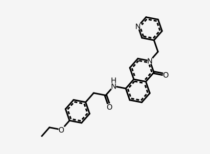 CCOc1ccc(CC(=O)Nc2cccc3c(=O)n(Cc4cccnc4)ccc23)cc1